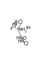 I.NC(CCCCNC(=O)Nc1ccccc1)(CCc1ccccc1Cl)Cc1cc(F)ccc1F